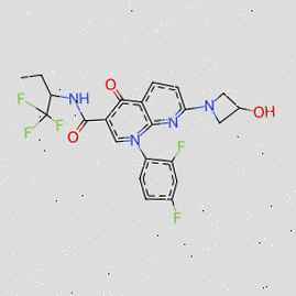 CCC(NC(=O)c1cn(-c2ccc(F)cc2F)c2nc(N3CC(O)C3)ccc2c1=O)C(F)(F)F